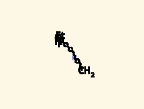 C=CCCC1CCC(/C=C/CCC2CCC(C3CCC(c4ccc(OCC)c(F)c4F)CC3)CC2)CC1